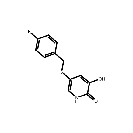 O=c1[nH]cc(SCc2ccc(F)cc2)cc1O